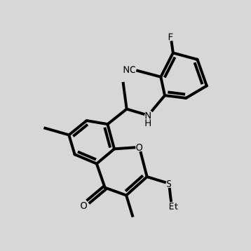 CCSc1oc2c(C(C)Nc3cccc(F)c3C#N)cc(C)cc2c(=O)c1C